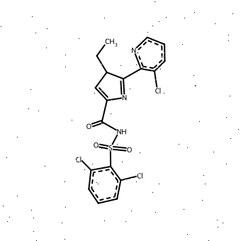 CCC1C=C(C(=O)NS(=O)(=O)c2c(Cl)cccc2Cl)N=C1c1ncccc1Cl